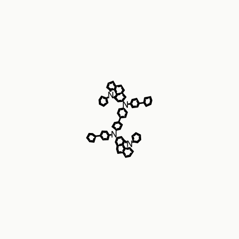 c1ccc(-c2ccc(N(c3ccc(-c4ccc(N(c5ccc(-c6ccccc6)cc5)c5cc6ccc7cccc8c7c6c(c5)n8-c5ccccc5)cc4)cc3)c3cc4ccc5cccc6c5c4c(c3)n6-c3ccccc3)cc2)cc1